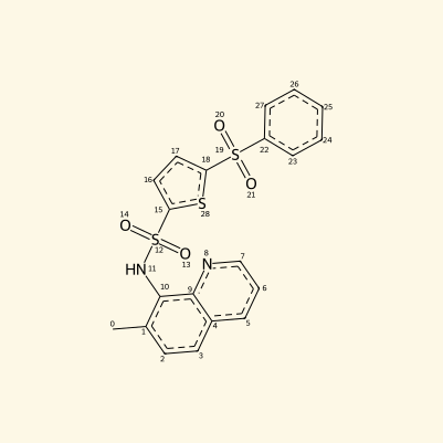 Cc1ccc2cccnc2c1NS(=O)(=O)c1ccc(S(=O)(=O)c2ccccc2)s1